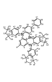 Cc1cc2c3c(c1)N(c1cc4c(cc1C)C(C)(C)CCC4(C)C)c1cc4c(cc1B3c1cc(-c3ccccc3)ccc1N2c1cc2c(cc1C)C(C)(C)CC2(C)C)C(C)(C)CC4(C)C